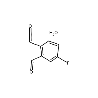 O.O=Cc1ccc(F)cc1C=O